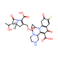 CC(O)[C@H]1C(=O)N2C(C(=O)O)=C(COC(=O)N3CCNCC3c3c(C(=O)O)c(=O)c4c(n3C3CC3)CC(=O)C(F)=C4)C[C@H]12